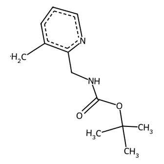 [CH2]c1cccnc1CNC(=O)OC(C)(C)C